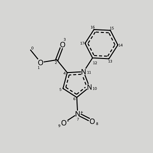 COC(=O)c1cc([N+](=O)[O-])nn1-c1ccccc1